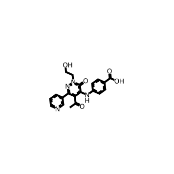 CC(=O)c1c(-c2cccnc2)nn(CCO)c(=O)c1Nc1ccc(C(=O)O)cc1